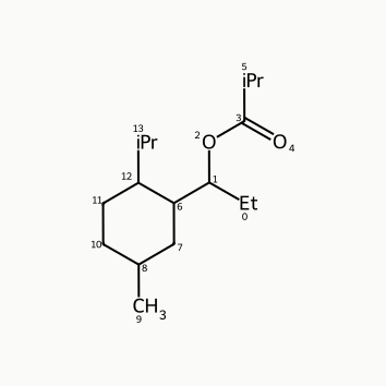 CCC(OC(=O)C(C)C)C1CC(C)CCC1C(C)C